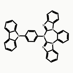 c1ccc2c(c1)nc1n(-c3ccc(-n4c5ccccc5c5ccccc54)cc3)c3nc4ccccc4n3c3ccccc3n21